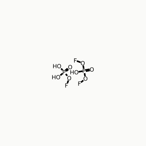 O=P(O)(O)OF.O=P(O)(OF)OF